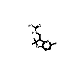 CC1(C)Oc2ccc(F)nc2C1CNC(=O)O